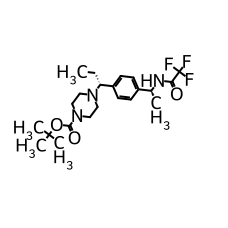 CC[C@H](c1ccc([C@H](C)NC(=O)C(F)(F)F)cc1)N1CCN(C(=O)OC(C)(C)C)CC1